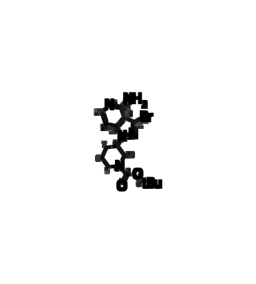 CC(C)(C)OC(=O)N1CCCC(n2nc(Br)c3c(N)nccc32)C1